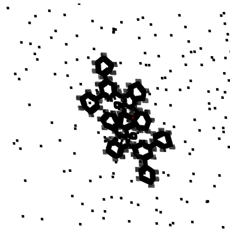 O=P1(c2ccc(P3(=O)N(c4ccccc4)c4ccccc4N3c3nc(-c4ccccc4)cc(-c4ccccc4)n3)cc2)N(c2ccccc2)c2ccccc2N1c1nc(-c2ccccc2)cc(-c2ccccc2)n1